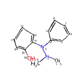 CN(C)N(c1ccccc1)c1ccccc1O